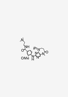 COc1cc(C(=O)NCCN(C)C)ccc1Nc1ncc2c(n1)N(C(C)C)CCC(=O)N2C